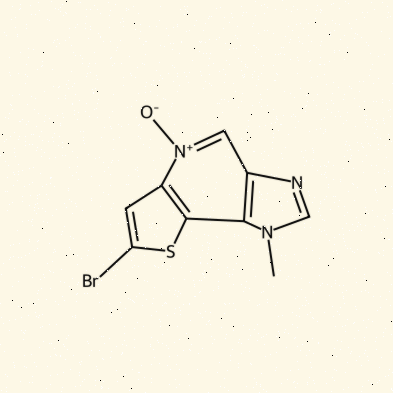 Cn1cnc2c[n+]([O-])c3cc(Br)sc3c21